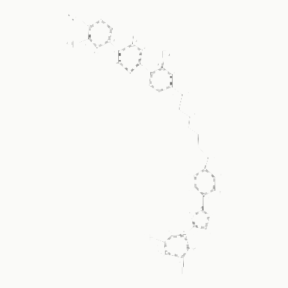 N#Cc1ccc(-c2ccc(-c3ccc(CCCCCCCc4ccc(-c5ccc(-c6cc(F)c(F)c(F)c6)s5)cc4)cc3F)cc2F)cc1F